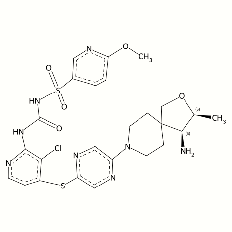 COc1ccc(S(=O)(=O)NC(=O)Nc2nccc(Sc3cnc(N4CCC5(CC4)CO[C@@H](C)[C@H]5N)cn3)c2Cl)cn1